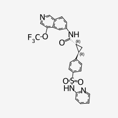 O=C(Nc1ccc2cncc(OC(F)(F)F)c2c1)[C@@H]1C[C@H]1c1ccc(S(=O)(=O)Nc2ccccn2)cc1